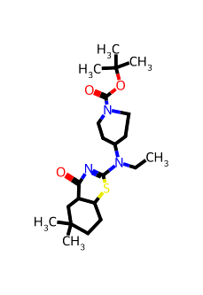 CCN(C1=NC(=O)C2CC(C)(C)CCC2S1)C1CCN(C(=O)OC(C)(C)C)CC1